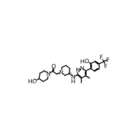 Cc1c(N[C@@H]2CCCN(CC(=O)N3CCC(O)CC3)C2)nnc(-c2ccc(C(F)(F)F)cc2O)c1C